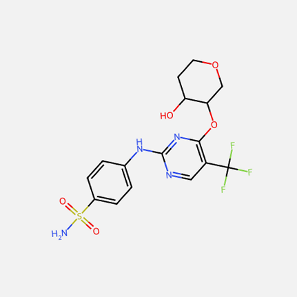 NS(=O)(=O)c1ccc(Nc2ncc(C(F)(F)F)c(OC3COCCC3O)n2)cc1